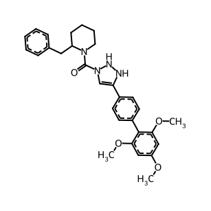 COc1cc(OC)c(-c2ccc(C3=CN(C(=O)N4CCCCC4Cc4ccccc4)NN3)cc2)c(OC)c1